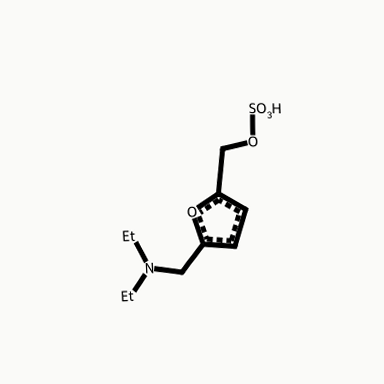 CCN(CC)Cc1ccc(COS(=O)(=O)O)o1